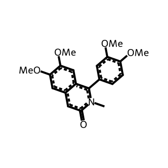 COc1ccc(-c2c3cc(OC)c(OC)cc3cc(=O)n2C)cc1OC